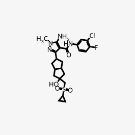 Cn1nc(C2CC3CC(O)(CS(=O)(=O)C4CC4)CC3C2)c(C(=O)Nc2ccc(F)c(Cl)c2)c1N